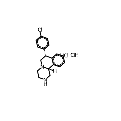 Cl.Cl.Clc1ccc([C@H]2CN3CCNC[C@H]3c3ccccc32)cc1